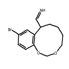 N=CC1CCCCOCOc2ccc(Br)cc21